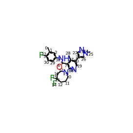 Cc1cc(NC(=O)c2c(N3CCCC(F)(F)CC3)ncc(-c3cnn(C)c3)c2C)ccc1F